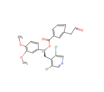 COc1ccc([C@H](Cc2c(Cl)cncc2Cl)OC(=O)c2cccc(CC=O)c2)cc1OC